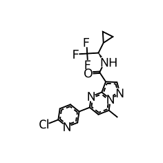 Cc1cc(-c2ccc(Cl)nc2)nc2c(C(=O)N[C@H](C3CC3)C(F)(F)F)cnn12